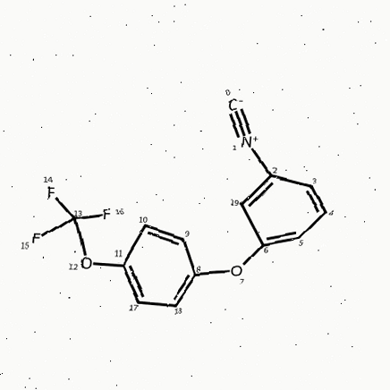 [C-]#[N+]c1cccc(Oc2ccc(OC(F)(F)F)cc2)c1